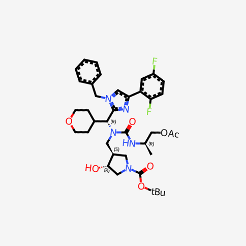 CC(=O)OC[C@@H](C)NC(=O)N(C[C@H]1CN(C(=O)OC(C)(C)C)C[C@@H]1O)[C@@H](c1nc(-c2cc(F)ccc2F)cn1Cc1ccccc1)C1CCOCC1